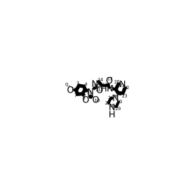 COc1ccc2c(c1)oc(=O)n2-c1ncc(C(=O)Nc2cnccc2N2CCNCC2)o1